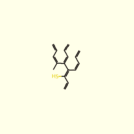 C=C\C=C/C(=C(/S)C=C)C(=C/C=C)/C(C)=C\C=C